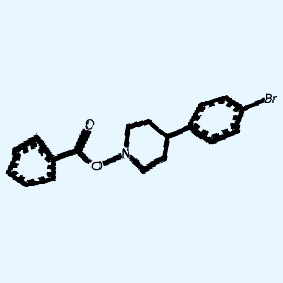 O=C(ON1CCC(c2ccc(Br)cc2)CC1)c1ccccc1